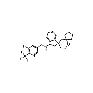 Fc1cc(CNCC[C@]2(c3ccccn3)CCOC3(CCCC3)C2)cnc1C(F)(F)F